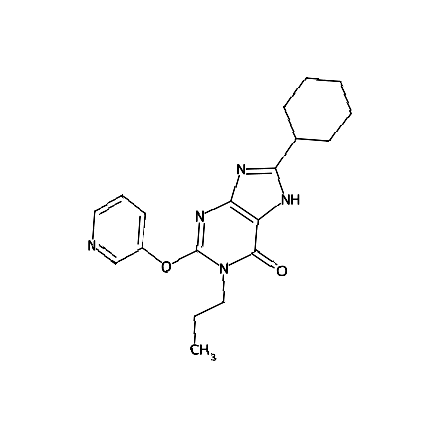 CCCn1c(Oc2cccnc2)nc2nc(C3CCCCC3)[nH]c2c1=O